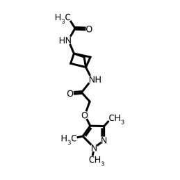 CC(=O)NC12CC(NC(=O)COc3c(C)nn(C)c3C)(C1)C2